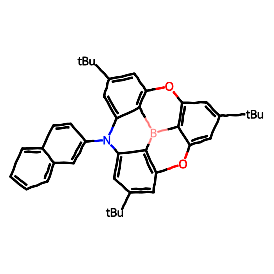 CC(C)(C)c1cc2c3c(c1)Oc1cc(C(C)(C)C)cc4c1B3c1c(cc(C(C)(C)C)cc1N4c1ccc3ccccc3c1)O2